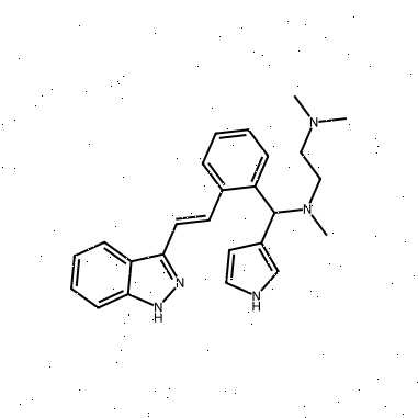 CN(C)CCN(C)C(c1cc[nH]c1)c1ccccc1C=Cc1n[nH]c2ccccc12